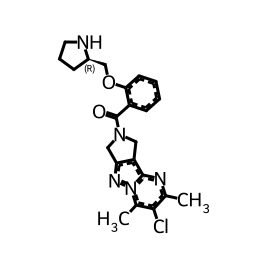 Cc1nc2c3c(nn2c(C)c1Cl)CN(C(=O)c1ccccc1OC[C@H]1CCCN1)C3